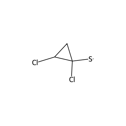 [S]C1(Cl)CC1Cl